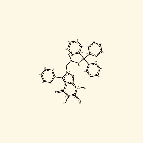 CC(Cn1cc2c(c1-c1ccccc1)c(=O)n(C)c(=O)n2C)SC(c1ccccc1)(c1ccccc1)c1ccccc1